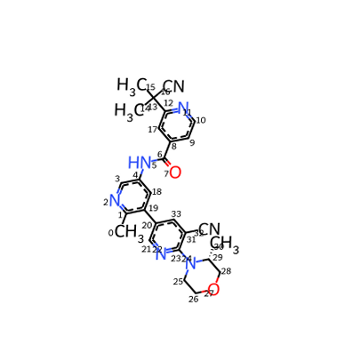 Cc1ncc(NC(=O)c2ccnc(C(C)(C)C#N)c2)cc1-c1cnc(N2CCOC[C@H]2C)c(C#N)c1